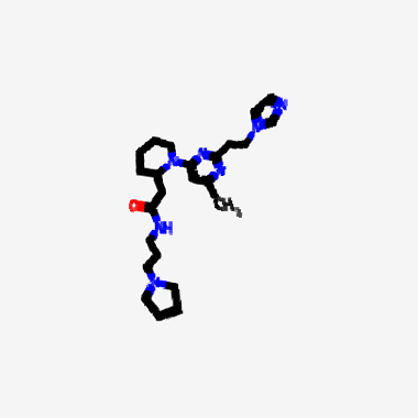 Cc1cc(N2CCCCC2CC(=O)NCCCN2CCCC2)nc(CCn2ccnc2)n1